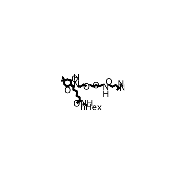 CCCCCCNC(=O)CCCCC(NCCOCCOCCNC(=O)CCC1(C)N=N1)=C1C(=O)CC(C)(C)CC1=O